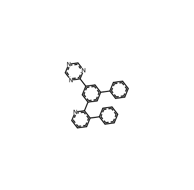 c1ccc(-c2cc(-c3ncncn3)cc(-c3ncccc3-c3ccccc3)c2)cc1